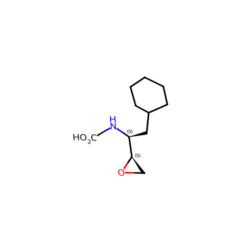 O=C(O)N[C@@H](CC1CCCCC1)[C@H]1CO1